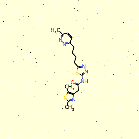 Cc1ccc(CCCCc2nnc(NC(=O)Cc3nc(C)sc3C)s2)nn1